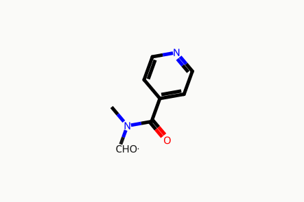 CN([C]=O)C(=O)c1ccncc1